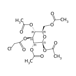 CC(=O)OC[C@H]1O[C@@H](OC(C)=O)[C@H](OC(C)=O)[C@@H](OC(=O)CCl)[C@@H]1OC(C)=O